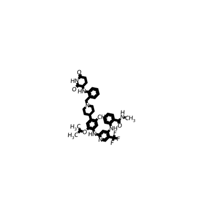 CNC(=O)c1ccccc1Nc1cc(Nc2cc(C)c(C3CCN(Cc4ccccc4NC4CCC(=O)NC4=O)CC3)cc2OC(C)C)ncc1C(F)(F)F